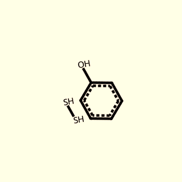 Oc1ccccc1.SS